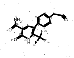 N#CCc1ccc(-c2cc(C(N)=O)c(=O)[nH]c2C(F)(F)F)cc1